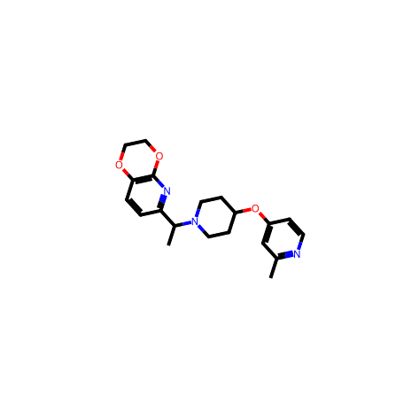 Cc1cc(OC2CCN(C(C)c3ccc4c(n3)OCCO4)CC2)ccn1